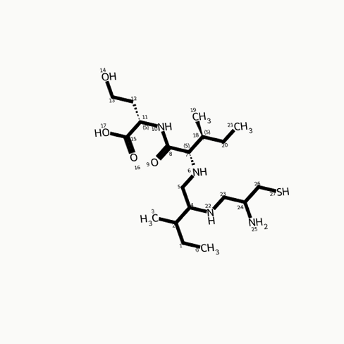 CCC(C)C(CN[C@H](C(=O)N[C@@H](CCO)C(=O)O)[C@@H](C)CC)NCC(N)CS